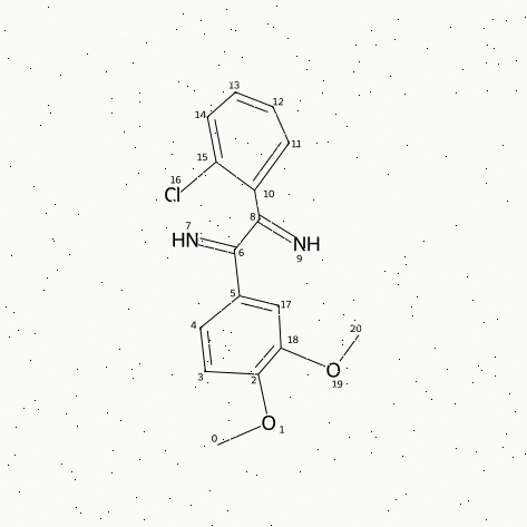 COc1ccc(C(=N)C(=N)c2ccccc2Cl)cc1OC